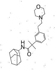 CC(C)(C(=O)NC1C2CC3CC(C2)CC1C3)c1cccc(CCN2CCOCC2)c1